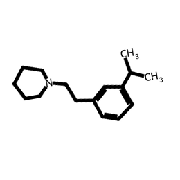 CC(C)c1cccc(CCN2CCCCC2)c1